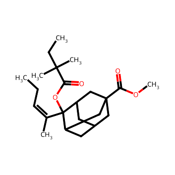 CC/C=C(/C)C1(OC(=O)C(C)(C)CC)C2CC3CC1CC(C(=O)OC)(C3)C2